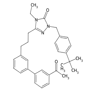 CCn1c(CCCc2cccc(-c3cccc(C(C)=O)c3)c2)nn(Cc2ccc(C(C)(C)C)cc2)c1=O